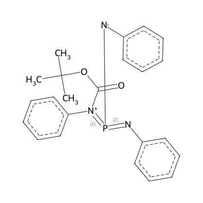 CC(C)(C)OC(=O)/[N+](c1ccccc1)=P(\[N]c1ccccc1)=N\c1ccccc1